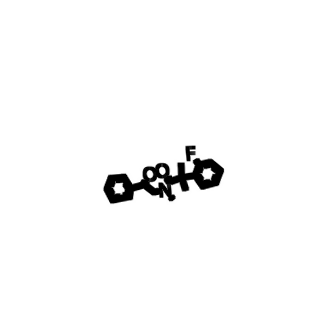 CN(CC(=O)c1ccccc1)C(=O)C(C)(C)c1ccccc1F